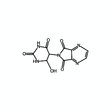 O=C1NC(=O)C(N2C(=O)c3nccnc3C2=O)C(O)N1